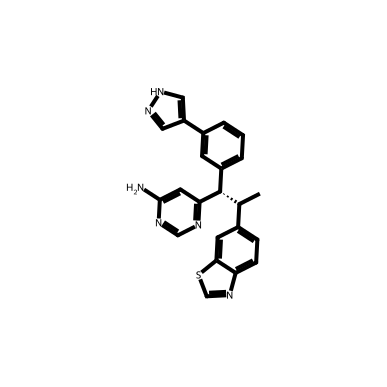 CC(c1ccc2ncsc2c1)[C@@H](c1cccc(-c2cn[nH]c2)c1)c1cc(N)ncn1